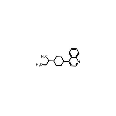 C=CC(C)C1CCC(c2ccnc3ccccc23)CC1